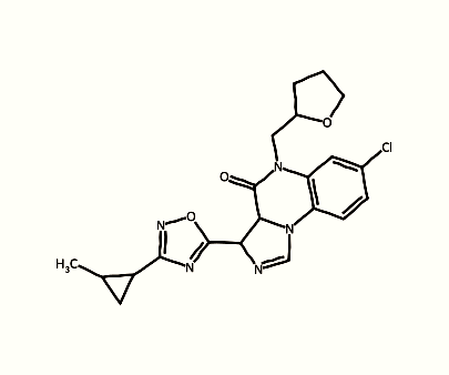 CC1CC1c1noc(C2N=CN3c4ccc(Cl)cc4N(CC4CCCO4)C(=O)C23)n1